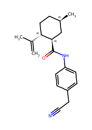 C=C(C)[C@@H]1CC[C@@H](C)C[C@H]1C(=O)Nc1ccc(CC#N)cc1